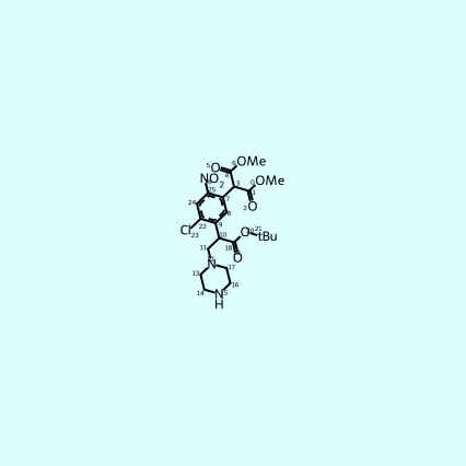 COC(=O)C(C(=O)OC)c1cc(C(CN2CCNCC2)C(=O)OC(C)(C)C)c(Cl)cc1[N+](=O)[O-]